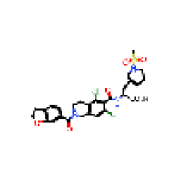 CS(=O)(=O)N1CCC=C(C[C@H](NC(=O)c2c(Cl)cc3c(c2Cl)CCN(C(=O)c2ccc4c(c2)OCC4)C3)C(=O)O)C1